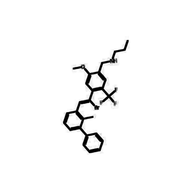 CCCNCc1cc(C(F)(F)F)c(/C(Br)=C/c2cccc(-c3ccccc3)c2C)cc1OC